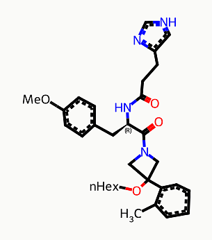 CCCCCCOC1(c2ccccc2C)CN(C(=O)[C@@H](Cc2ccc(OC)cc2)NC(=O)CCc2c[nH]cn2)C1